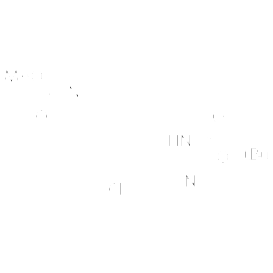 COC(=O)N1CCCC(C#Cc2c(Cl)ccnc2NC(=O)OC(C)(C)C)C1